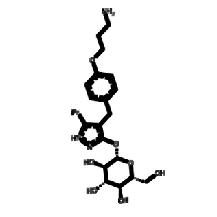 CC(C)c1[nH]nc(O[C@@H]2O[C@H](CO)[C@@H](O)[C@H](O)[C@H]2O)c1Cc1ccc(OCCCN)cc1